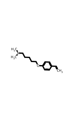 C=Cc1ccc(OCCCCCN(C)C)cc1